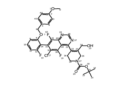 COc1ccc(COc2cccc(F)c2-c2c(Cl)c(F)c3c(C4=C(CO)CN(C(=O)OC(C)(C)C)CC4)ncnc3c2F)cc1